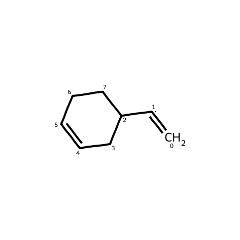 C=[C]C1CC=CCC1